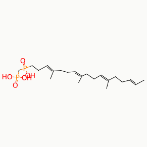 CC=CCC/C(C)=C/CC/C(C)=C/CC/C(C)=C/CCP(=O)(O)CP(=O)(O)O